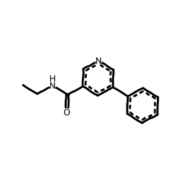 CCNC(=O)c1cncc(-c2ccccc2)c1